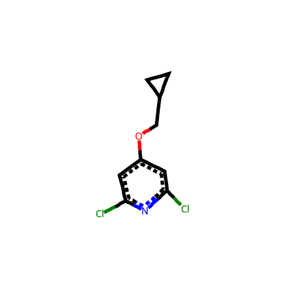 Clc1cc(OCC2CC2)cc(Cl)n1